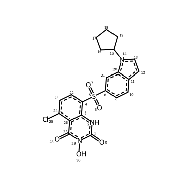 O=c1[nH]c2c(S(=O)(=O)c3ccc4ccn(C5CCCC5)c4c3)ccc(Cl)c2c(=O)n1O